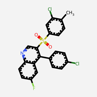 Cc1ccc(S(=O)(=O)c2cnc3ccc(F)cc3c2-c2ccc(Cl)cc2)cc1Cl